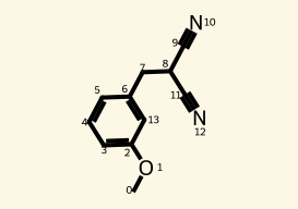 COc1cccc(CC(C#N)C#N)c1